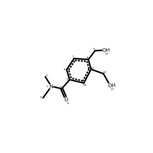 CN(C)C(=O)c1ccc(CO)c(CO)c1